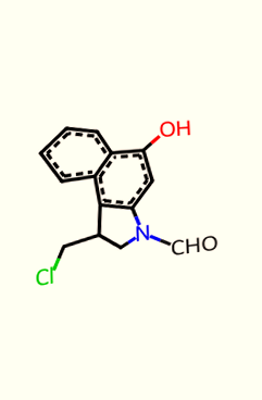 O=CN1CC(CCl)c2c1cc(O)c1ccccc21